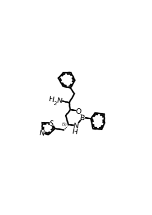 NC(Cc1ccccc1)C1C[C@@H](Cc2cncs2)NB(c2ccccc2)O1